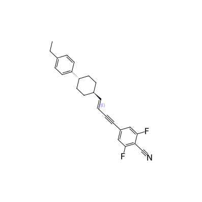 CCc1ccc([C@H]2CC[C@H](/C=C/C#Cc3cc(F)c(C#N)c(F)c3)CC2)cc1